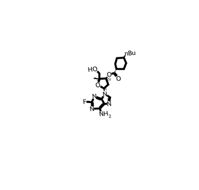 CCCC[C@H]1CC[C@H](C(=O)O[C@H]2C[C@H](n3cnc4c(N)nc(F)nc43)O[C@]2(C)CO)CC1